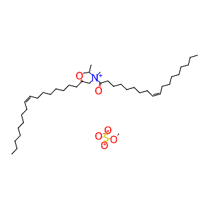 CCCCCCCC/C=C\CCCCCCCC(=O)C[N+](C)(C(=O)CCCCCCC/C=C\CCCCCCCC)C(C)C.COS(=O)(=O)[O-]